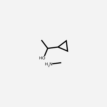 CC(O)C1CC1.CN